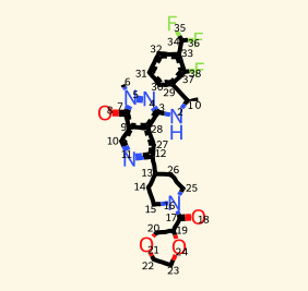 C[C@@H](Nc1nn(C)c(=O)c2cnc(C3CCN(C(=O)C4COCCO4)CC3)cc12)c1cccc(C(F)F)c1F